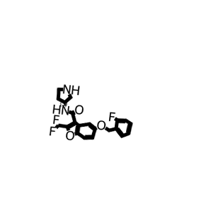 O=C(N[C@H]1CCNC1)c1c(C(F)F)oc2ccc(OCc3ccccc3F)cc12